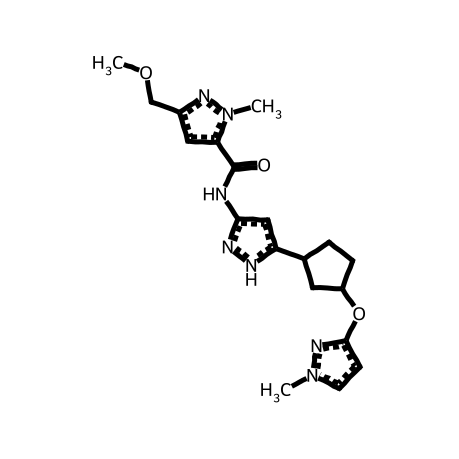 COCc1cc(C(=O)Nc2cc(C3CCC(Oc4ccn(C)n4)C3)[nH]n2)n(C)n1